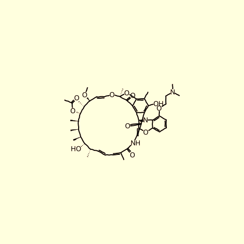 CO[C@H]1/C=C/O[C@@]2(C)Oc3c(C)c(O)c4c(=O)c(c5oc6cccc(OCCN(C)C)c6nc-5c4c3C2=O)NC(=O)/C(C)=C\C=C\[C@H](C)[C@H](O)[C@@H](C)[C@@H](C)[C@@H](C)[C@H](OC(C)=O)[C@@H]1C